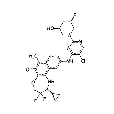 Cn1c(=O)c2c(c3cc(Nc4nc(N5C[C@@H](O)C[C@@H](F)C5)ncc4Cl)ccc31)N[C@@H](C1CC1)C(F)(F)CO2